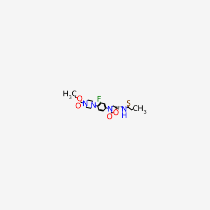 CCOC(=O)N1CCN(c2ccc(N3C[C@H](CNC(=S)CC)OC3=O)cc2F)CC1